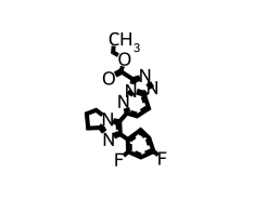 CCOC(=O)c1nnc2ccc(-c3c(-c4ccc(F)cc4F)nc4n3CCC4)nn12